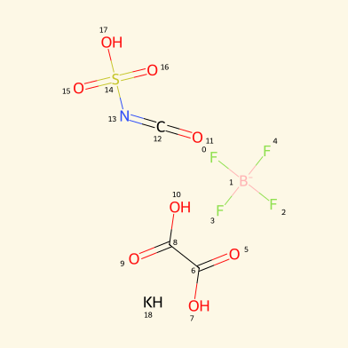 F[B-](F)(F)F.O=C(O)C(=O)O.O=C=NS(=O)(=O)O.[KH]